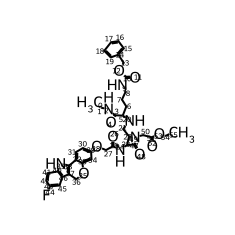 CCNC(=O)C(CCCNC(=O)OCc1ccccc1)NCC1C(NC(=O)COc2ccc3c(c2)OCc2c-3[nH]c3ccc(F)cc23)C(=O)N1CC(=O)OCC